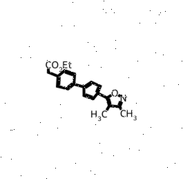 CCOC(=O)Cc1ccc(-c2ccc(-c3onc(C)c3C)cc2)cc1